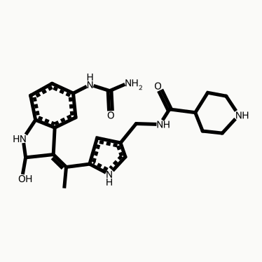 CC(=C1c2cc(NC(N)=O)ccc2NC1O)c1cc(CNC(=O)C2CCNCC2)c[nH]1